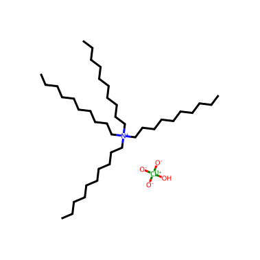 CCCCCCCCCC[N+](CCCCCCCCCC)(CCCCCCCCCC)CCCCCCCCCC.[O-][Cl+3]([O-])([O-])O